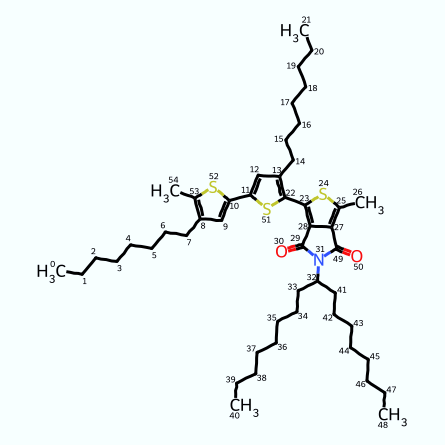 CCCCCCCCc1cc(-c2cc(CCCCCCCC)c(-c3sc(C)c4c3C(=O)N(C(CCCCCCCC)CCCCCCCC)C4=O)s2)sc1C